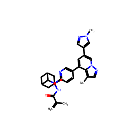 C=C(C)C(=O)NC1(C)CC2CC(C1)C2Nc1ccc(-c2cc(-c3cnn(C)c3)cn3ncc(C#N)c23)cn1